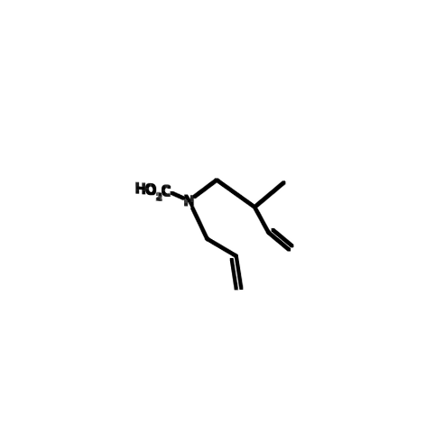 C=CCN(CC(C)C=C)C(=O)O